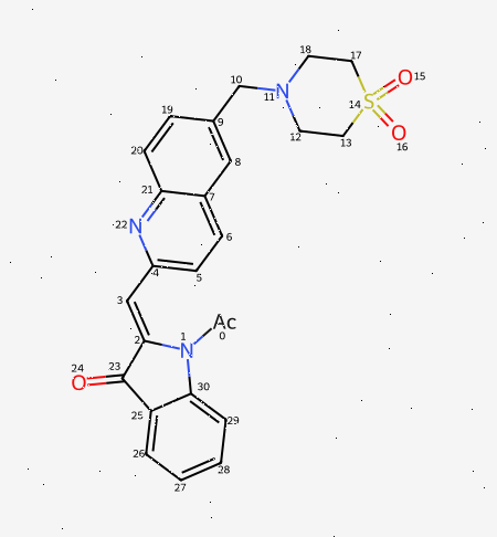 CC(=O)N1/C(=C\c2ccc3cc(CN4CCS(=O)(=O)CC4)ccc3n2)C(=O)c2ccccc21